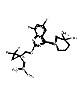 CN(C)C[C@@]1(COc2nc(N3CCCC(C)(O)C3)c3cc(F)cc(F)c3n2)CC1(F)F